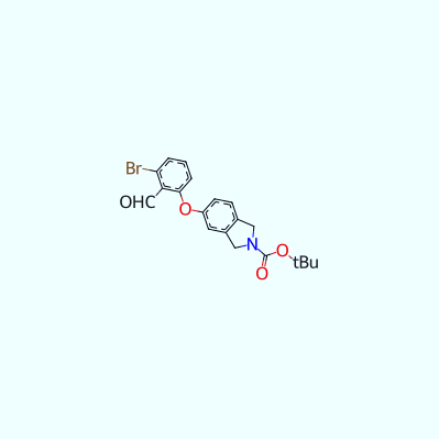 CC(C)(C)OC(=O)N1Cc2ccc(Oc3cccc(Br)c3C=O)cc2C1